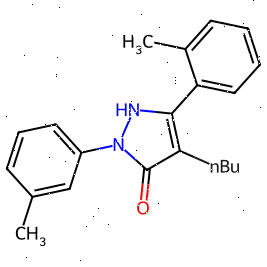 CCCCc1c(-c2ccccc2C)[nH]n(-c2cccc(C)c2)c1=O